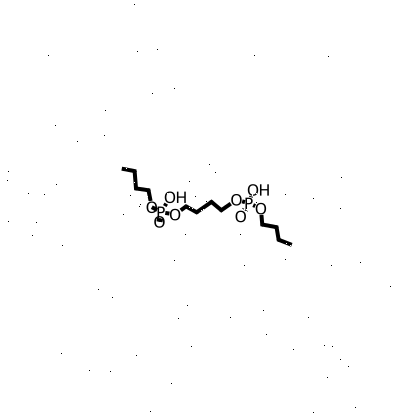 CCCCOP(=O)(O)OCCCCOP(=O)(O)OCCCC